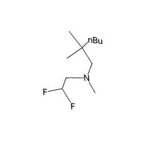 CCCCC(C)(C)CN(C)CC(F)F